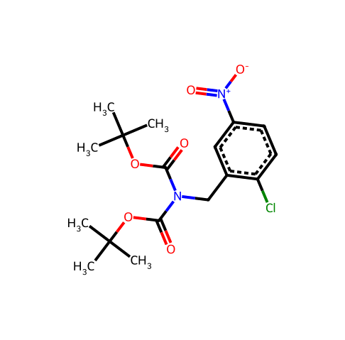 CC(C)(C)OC(=O)N(Cc1cc([N+](=O)[O-])ccc1Cl)C(=O)OC(C)(C)C